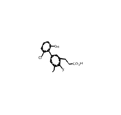 Cc1cc(-c2c(O)cccc2Cl)cc(CCC(=O)O)c1F